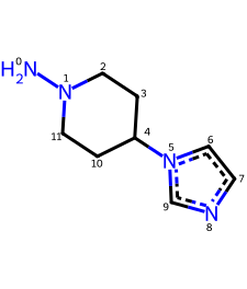 NN1CCC(n2ccnc2)CC1